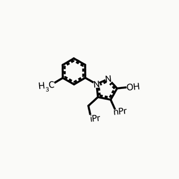 CCCc1c(O)nn(-c2cccc(C)c2)c1CC(C)C